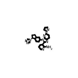 Nc1ncccc1-c1nc2ccc(-n3cccn3)nc2n1-c1ccc2c(c1)CC[C@@H]2n1cnnc1